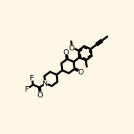 CC#Cc1cc(C)c(C2C(=O)CC(C3CCN(C(=O)C(F)F)CC3)CC2=O)c(OC)c1